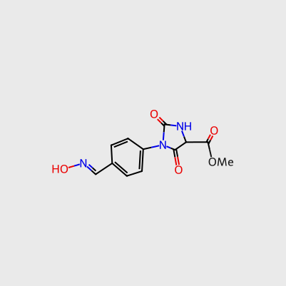 COC(=O)C1NC(=O)N(c2ccc(C=NO)cc2)C1=O